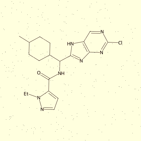 CCn1nccc1C(=O)NC(c1nc2nc(Cl)ncc2[nH]1)C1CCC(C)CC1